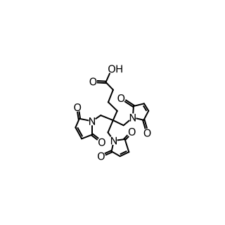 O=C(O)CCCC(CN1C(=O)C=CC1=O)(CN1C(=O)C=CC1=O)CN1C(=O)C=CC1=O